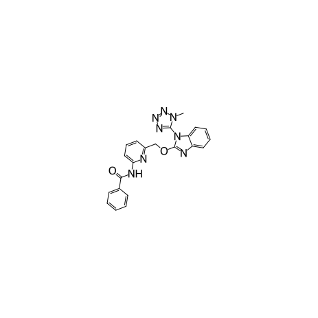 Cn1nnnc1-n1c(OCc2cccc(NC(=O)c3ccccc3)n2)nc2ccccc21